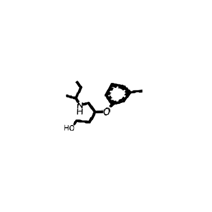 CCC(C)NCC(CCO)Oc1cccc(C)c1